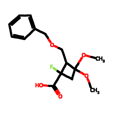 COC1(OC)CC(F)(C(=O)O)C1COCc1ccccc1